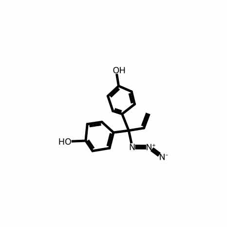 C=CC(N=[N+]=[N-])(c1ccc(O)cc1)c1ccc(O)cc1